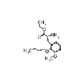 CCCCOc1c(CC(N)C(=O)OCC)cccc1OC